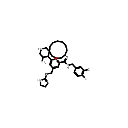 CC1CNCC2(CCCCCCCCCC2)C1c1cc(CNC2=NCCN2)cc(C(=O)NCc2ccc(Cl)c(Cl)c2)n1